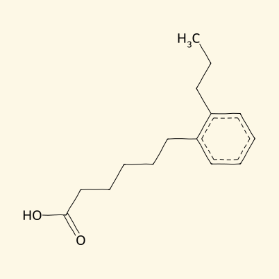 CCCc1ccccc1CCCCCC(=O)O